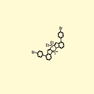 CC[Si]1(CC)C2=Cc3c(-c4ccc(Br)cc4)cccc3[CH]2[Hf]([CH3])([CH3])[CH]2C1=Cc1c(-c3ccc(Br)cc3)cccc12